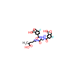 C[C@@H](CCCCNC(=O)[C@H](CNC(=O)c1cc(F)c2c(c1)B(O)OC2)NC(=O)c1cc(F)c2c(c1)B(O)OC2)C(=O)O